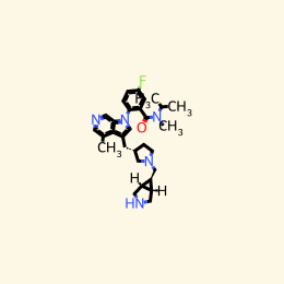 Cc1cncc2c1c(C[C@@H]1CCN(C[C@H]3[C@@H]4CNC[C@@H]43)C1)cn2-c1ccc(F)cc1C(=O)N(C)C(C)C